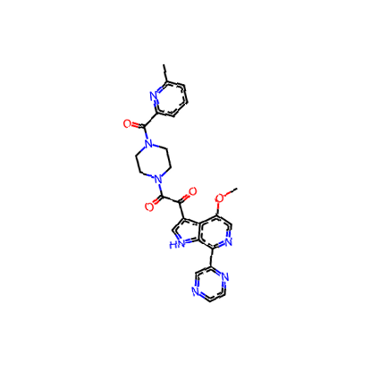 COc1cnc(-c2cnccn2)c2[nH]cc(C(=O)C(=O)N3CCN(C(=O)c4cccc(C)n4)CC3)c12